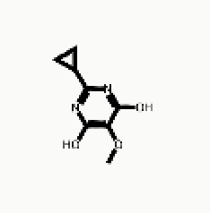 COc1c(O)nc(C2CC2)nc1O